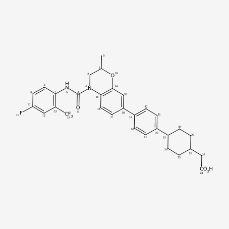 CC1CN(C(=O)Nc2ccc(F)cc2C(F)(F)F)c2ccc(-c3ccc(C4CCC(CC(=O)O)CC4)cc3)cc2O1